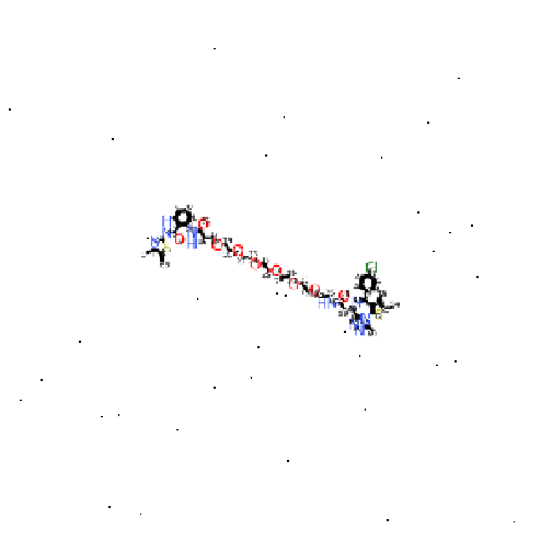 Cc1nc(NC(=O)c2ccccc2NC(=O)CCOCCOCCOCCOCCOCCOCCNC(=O)C[C@@H]2N=C(c3ccc(Cl)cc3)c3c(sc(C)c3C)-n3c(C)nnc32)sc1C